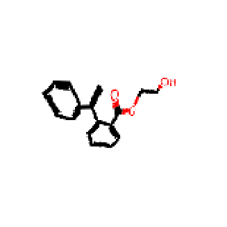 C=C(c1ccccc1)c1ccccc1C(=O)OCCO